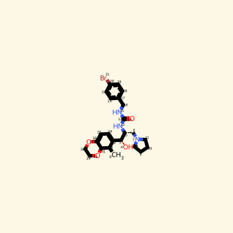 CC1C([C@@H](O)[C@@H](CN2CCCC2)NC(=O)NCc2ccc(Br)cc2)=CC=C2OCCOC21